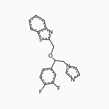 Fc1ccc(C(Cn2ccnc2)OCc2nc3ccccc3s2)cc1F